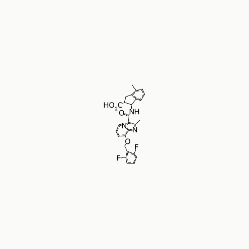 Cc1cccc2c1C[C@@H](C(=O)O)[C@@H]2NC(=O)c1c(C)nc2c(OCc3c(F)cccc3F)cccn12